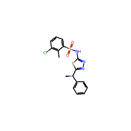 Cc1c(Cl)cccc1S(=O)(=O)Nc1nnc([C@H](C)c2ccccc2)s1